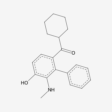 CNc1c(O)ccc(C(=O)C2CCCCC2)c1-c1ccccc1